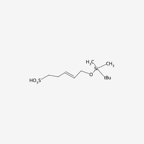 CC(C)(C)[Si](C)(C)OCC=CCCS(=O)(=O)O